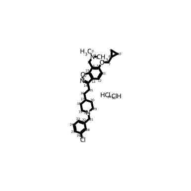 CN(C)Cc1c(OCC2CC2)ccc2c(CCC3CCN(Cc4cccc(Cl)c4)CC3)noc12.Cl.Cl